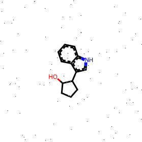 OC1CCCC1c1c[nH]c2ccccc12